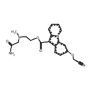 CN(CCOC(=O)c1c2ccc(OCC#N)cc2n2ccccc12)CC(N)=O